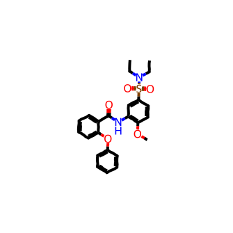 CCN(CC)S(=O)(=O)c1ccc(OC)c(NC(=O)c2ccccc2Oc2ccccc2)c1